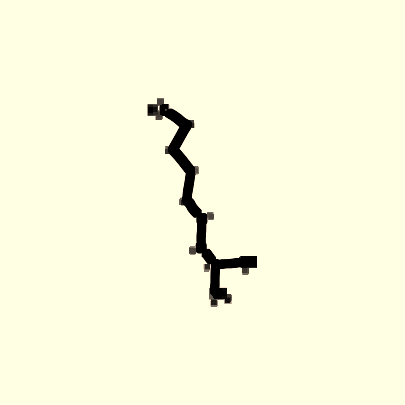 CCCCCOOP(N)O